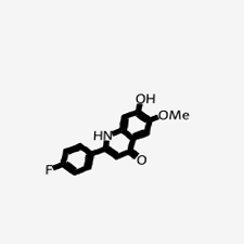 COc1cc2c(=O)cc(-c3ccc(F)cc3)[nH]c2cc1O